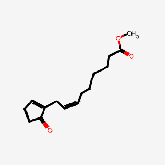 COC(=O)CCCCC/C=C\CC1=CCCC1=O